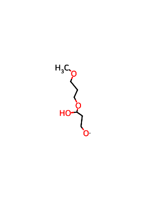 COCCCOC(O)CC[O]